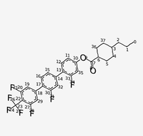 CCCC1CCC(C(=O)Oc2ccc(-c3ccc(-c4cc(F)c(C(F)(F)F)c(F)c4)c(F)c3)c(F)c2)CC1